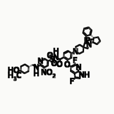 CC(C)c1ccccc1[C@@H]1CCC[C@@H]1N1CC2(CCN(c3ccc(C(=O)NS(=O)(=O)c4cnc(NC[C@H]5CC[C@](C)(O)CC5)c([N+](=O)[O-])c4)c(Oc4cc5c(F)c[nH]c5nc4F)c3)CC2)C1